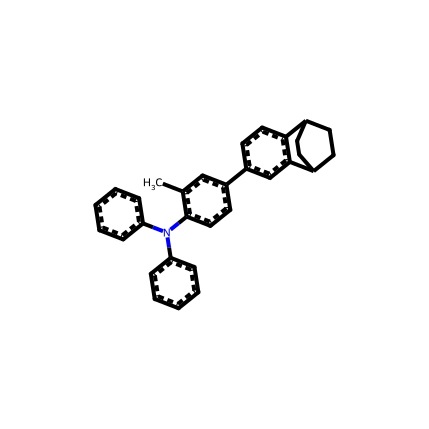 Cc1cc(-c2ccc3c(c2)C2CCC3CC2)ccc1N(c1ccccc1)c1ccccc1